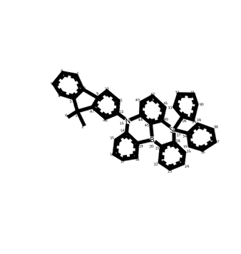 CC1(C)c2ccccc2-c2ccc(N3c4ccccc4B4c5ccccc5[Si](c5ccccc5)(c5ccccc5)c5cccc3c54)cc21